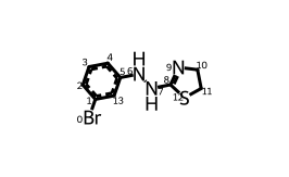 Brc1cccc(NNC2=NCCS2)c1